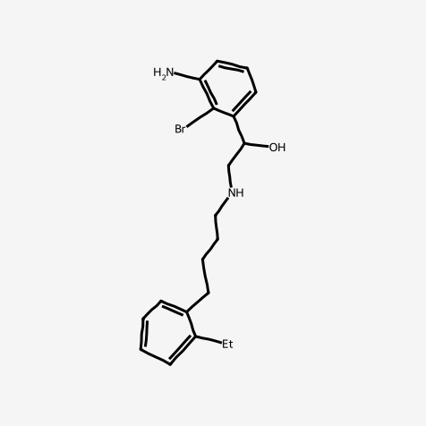 CCc1ccccc1CCCCNCC(O)c1cccc(N)c1Br